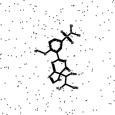 CCCCCCC(C(C)OC(C)=O)C12NC=NC1=NC(c1cc(S(=O)(=O)N(CC)CC)ccc1OCCC)=NC2=O